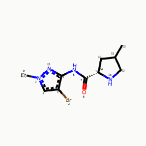 CCn1cc(Br)c(NC(=O)[C@@H]2CC(C)CN2)n1